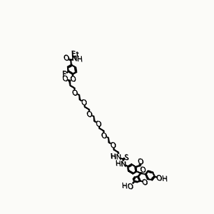 CCNC(=O)c1ccc(OC(=O)CCOCCOCCOCCOCCOCCOCCNC(=S)Nc2ccc3c(c2)C(=O)OC32c3ccc(O)cc3Oc3cc(O)ccc32)c(F)c1